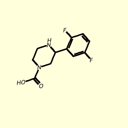 O=C(O)N1CCNC(c2cc(F)ccc2F)C1